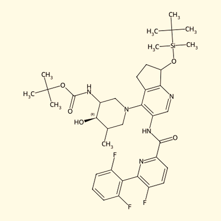 CC1CN(c2c(NC(=O)c3ccc(F)c(-c4c(F)cccc4F)n3)cnc3c2CCC3O[Si](C)(C)C(C)(C)C)CC(NC(=O)OC(C)(C)C)[C@@H]1O